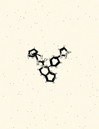 O=C(N[C@@H]1CN2CCC1CC2)N1CCc2ccccc2[C@@H]1c1ccc(-n2ccnn2)cc1